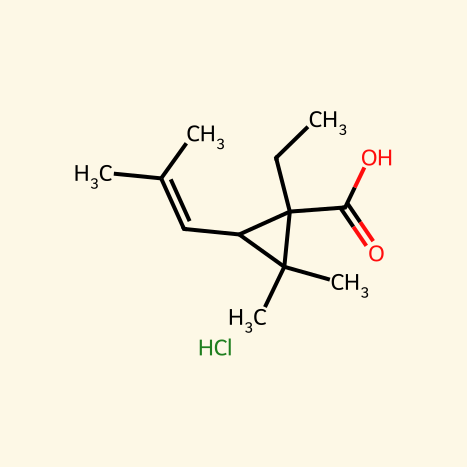 CCC1(C(=O)O)C(C=C(C)C)C1(C)C.Cl